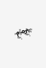 CCCN(CCC)C(=O)C1=Cc2ccc(C(=O)Nc3ccc(F)c(CCN)c3)cc2N=C(N)C1